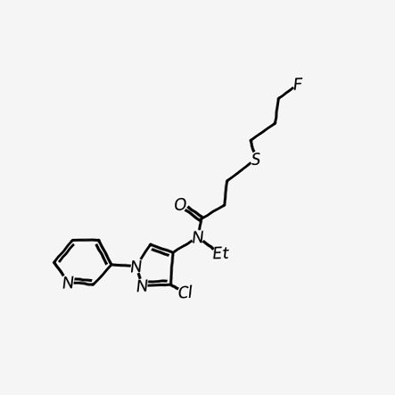 CCN(C(=O)CCSCCCF)c1cn(-c2cccnc2)nc1Cl